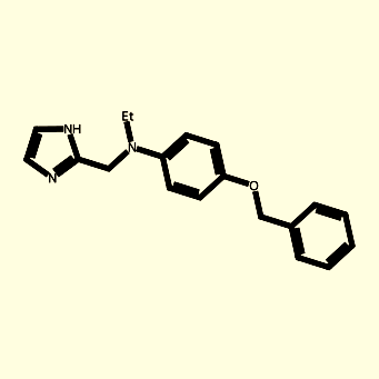 CCN(Cc1ncc[nH]1)c1ccc(OCc2ccccc2)cc1